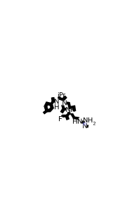 C=CCCN(CC(=C)N[C@@H](CCCN/C(N)=N/C)C(=C)CF)C(=C)C(NC(=C)c1ccc(C)cc1)C(C)C